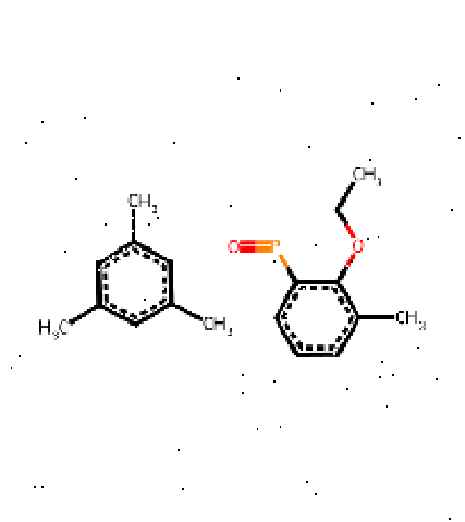 CCOc1c(C)cccc1P=O.Cc1cc(C)cc(C)c1